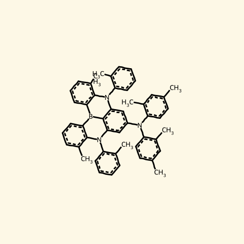 Cc1ccc(N(c2cc3c4c(c2)N(c2ccccc2C)c2c(C)cccc2B4c2cccc(C)c2N3c2ccccc2C)c2ccc(C)cc2C)c(C)c1